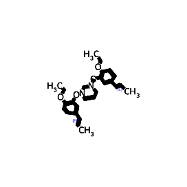 C/C=C/c1ccc(OCC)c(ON2C=CCN(Oc3cc(/C=C/C)ccc3OCC)C2)c1